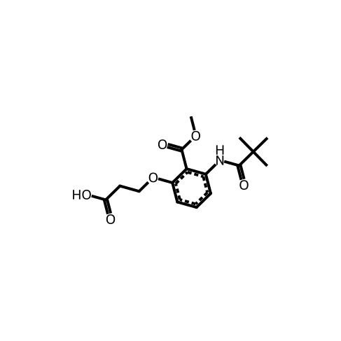 COC(=O)c1c(NC(=O)C(C)(C)C)cccc1OCCC(=O)O